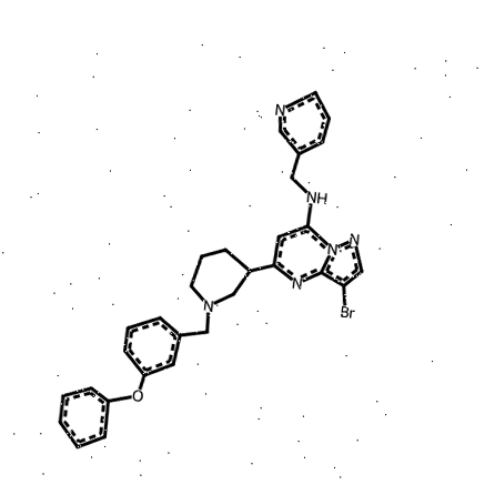 Brc1cnn2c(NCc3cccnc3)cc(C3CCCN(Cc4cccc(Oc5ccccc5)c4)C3)nc12